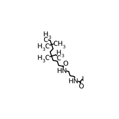 CCC(C)(C)CCC(C)(CC)CCCC(=O)NCCCNC(=O)I